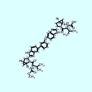 COC(=O)N[C@H](C(=O)N1[C@@H]2C[C@@H]2C[C@H]1c1nc2cc(-c3cccc(Oc4ccc5[nH]c([C@@H]6C[C@H]7C[C@H]7N6C(=O)[C@@H](NC(=O)O)C(C)C)nc5c4)c3)ccc2[nH]1)C(C)C